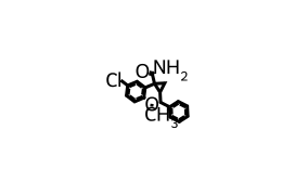 COc1ccc(Cl)cc1C1(C(N)=O)CC1Cc1ccccc1